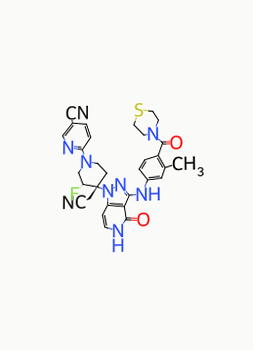 Cc1cc(Nc2nn([C@@]3(CC#N)CCN(c4ccc(C#N)cn4)C[C@H]3F)c3cc[nH]c(=O)c23)ccc1C(=O)N1CCSCC1